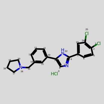 Cl.Clc1ccc(-c2ncc(-c3cccc(CN4CCCC4)c3)[nH]2)cc1Cl